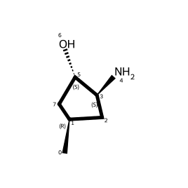 C[C@@H]1C[C@H](N)[C@@H](O)C1